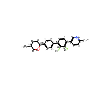 CCCc1ccc(-c2ccc(-c3ccc(C4CCC(CCC)CO4)cc3)c(F)c2F)cn1